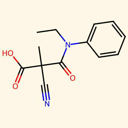 CCN(C(=O)C(C)(C#N)C(=O)O)c1ccccc1